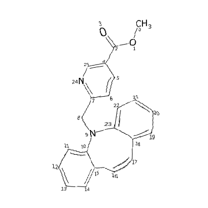 COC(=O)c1ccc(CN2c3ccccc3C=Cc3ccccc32)nc1